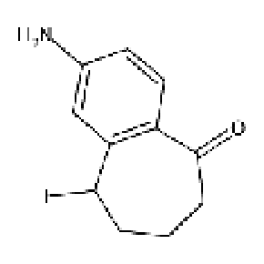 Nc1ccc2c(c1)C(I)CCCC2=O